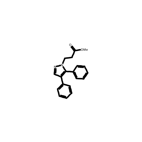 COC(=O)CCn1ncc(-c2ccccc2)c1-c1ccccc1